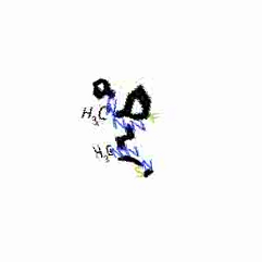 CN(Cc1ccccc1)c1nc(CCc2nc(-c3nccs3)cn2C)nc2c(F)cccc12